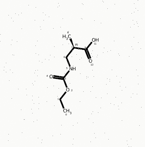 CCOC(=O)NC[C@@H](C)C(=O)O